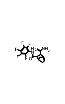 NC(=O)C1C2=CCC(C2)C1C(=O)Nc1c(F)c(F)c(F)c(F)c1F